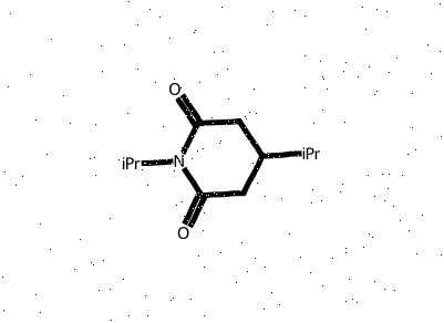 CC(C)C1CC(=O)N(C(C)C)C(=O)C1